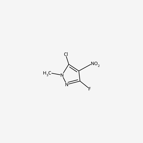 Cn1nc(F)c([N+](=O)[O-])c1Cl